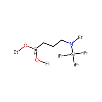 CCO[SiH](CCCN(CC)[Si](C(C)C)(C(C)C)C(C)C)OCC